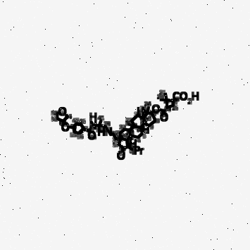 CC(C)C1=C2[C@H]3CC[C@@H]4[C@@]5(C)CC[C@H](OC(=O)[C@H]6C[C@@H](C(=O)O)C6(C)C)C(C)(C)[C@@H]5CC[C@@]4(C)[C@]3(C)CC[C@@]2(CCNCC(C)(C)NC(=O)c2ccc(O[C@H]3CCOC3)cc2)CC1=O